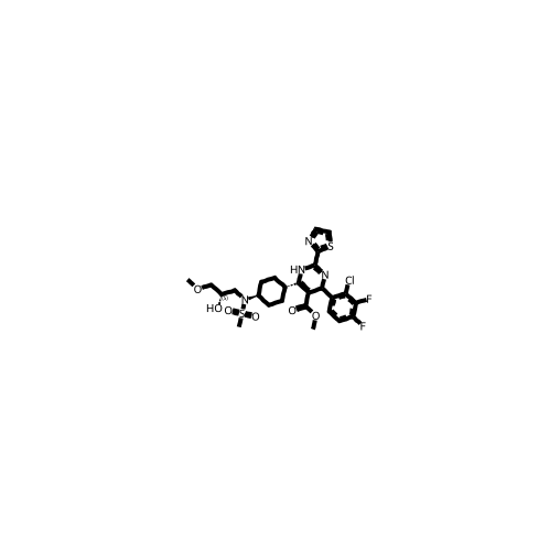 COC[C@@H](O)CN([C@H]1CC[C@H](C2=C(C(=O)OC)C(c3ccc(F)c(F)c3Cl)N=C(c3nccs3)N2)CC1)S(C)(=O)=O